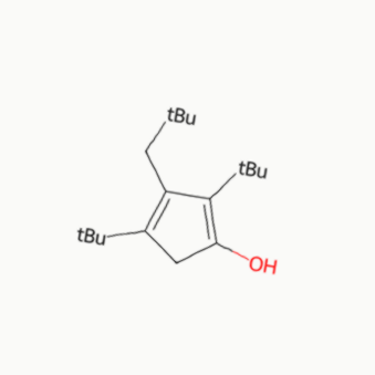 CC(C)(C)CC1=C(C(C)(C)C)CC(O)=C1C(C)(C)C